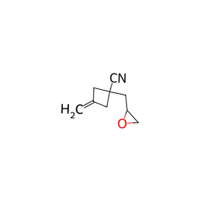 C=C1CC(C#N)(CC2CO2)C1